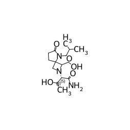 CC(C)C(=O)N1C(=O)CCC12CN([C@H](C(N)=O)[C@@H](C)O)C2CO